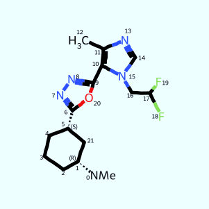 CN[C@@H]1CCC[C@H](c2nnc(-c3c(C)ncn3CC(F)F)o2)C1